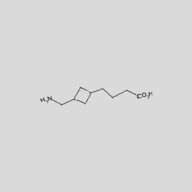 NCC1CC(CCCC(=O)O)C1